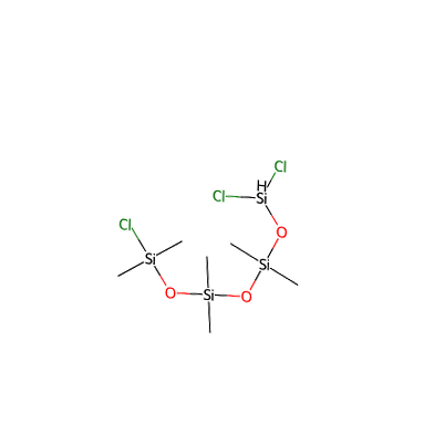 C[Si](C)(Cl)O[Si](C)(C)O[Si](C)(C)O[SiH](Cl)Cl